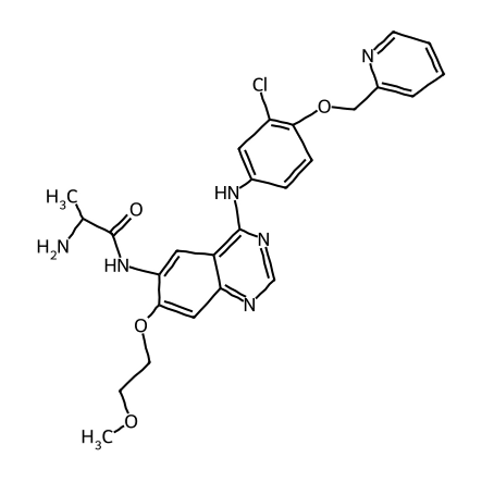 COCCOc1cc2ncnc(Nc3ccc(OCc4ccccn4)c(Cl)c3)c2cc1NC(=O)C(C)N